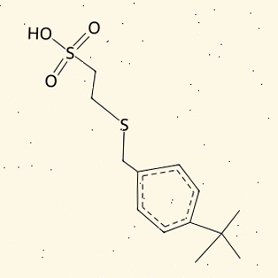 CC(C)(C)c1ccc(CSCCS(=O)(=O)O)cc1